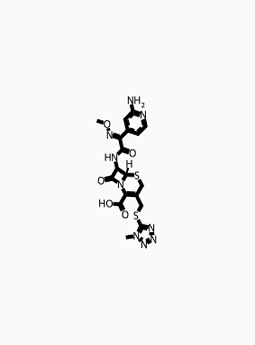 CON=C(C(=O)NC1C(=O)N2C(C(=O)O)=C(CSc3nnnn3C)CS[C@@H]12)c1ccnc(N)c1